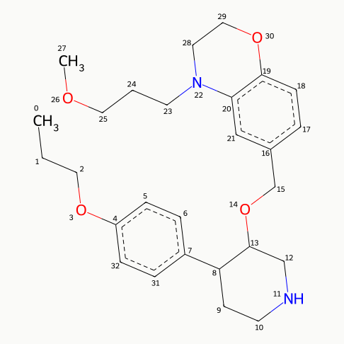 CCCOc1ccc(C2CCNCC2OCc2ccc3c(c2)N(CCCOC)CCO3)cc1